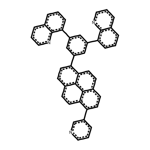 c1cncc(-c2ccc3ccc4c(-c5cc(-c6cccc7cccnc67)cc(-c6cccc7cccnc67)c5)ccc5ccc2c3c54)c1